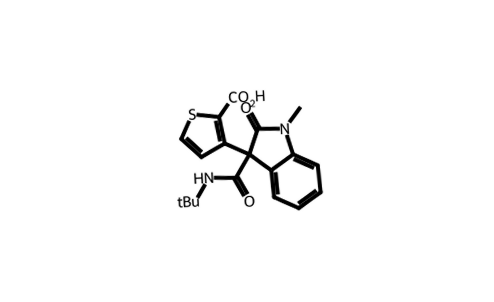 CN1C(=O)C(C(=O)NC(C)(C)C)(c2ccsc2C(=O)O)c2ccccc21